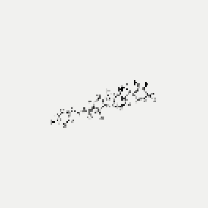 COc1ccc(C2CN=C3C(Nc4ccc(C(=O)NCCN5CCNCC5)c(C)c4)=NC=CN32)c(F)c1F